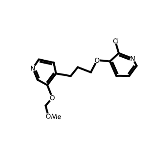 COCOc1cnccc1CCCOc1cccnc1Cl